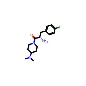 CN(C)C1CCN(C(=O)[C@@H](N)Cc2ccc(F)cc2)CC1